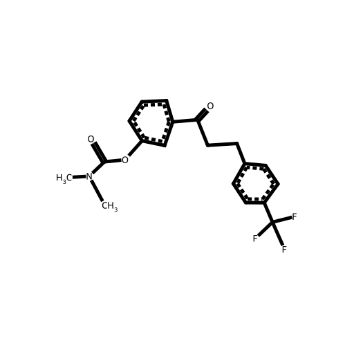 CN(C)C(=O)Oc1cccc(C(=O)CCc2ccc(C(F)(F)F)cc2)c1